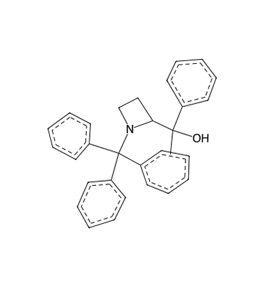 CC(O)(c1ccccc1)C1CCN1C(c1ccccc1)(c1ccccc1)c1ccccc1